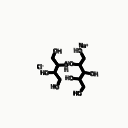 OCC(O)C(O)C(O)CO.OCC(O)C(O)CO.[Cl-].[Na+]